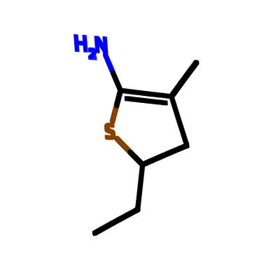 CCC1CC(C)=C(N)S1